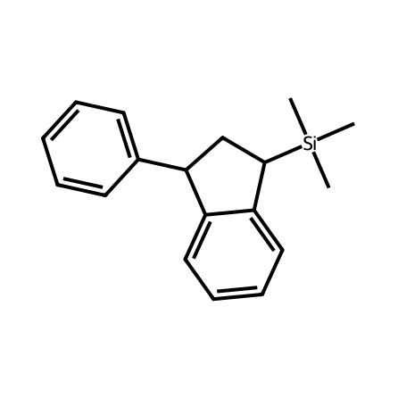 C[Si](C)(C)C1CC(c2ccccc2)c2ccccc21